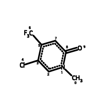 Cn1cc(Cl)c(C(F)(F)F)cc1=O